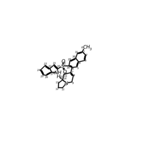 Cc1ccc2cc(C3=CCN4CCC[C@@H]4C3)c(S(=O)(=O)c3cc4ccccc4[nH]3)cc2c1